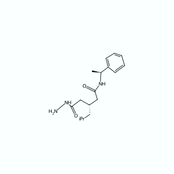 CC(C)C[C@H](CC(=O)NN)CC(=O)N[C@@H](C)c1ccccc1